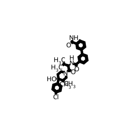 CC(C)[C@@H](NC(=O)c1cccc(-c2cccc(C(N)=O)c2)c1)C(=O)N1CC[C@](O)(c2ccc(Cl)cc2)C(C)(C)C1